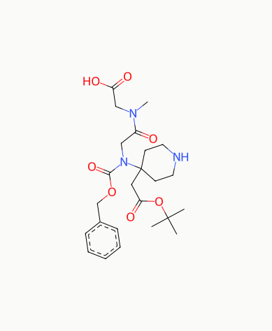 CN(CC(=O)O)C(=O)CN(C(=O)OCc1ccccc1)C1(CC(=O)OC(C)(C)C)CCNCC1